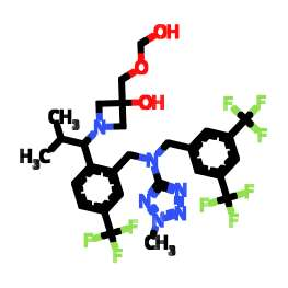 CC(C)C(c1ccc(C(F)(F)F)cc1CN(Cc1cc(C(F)(F)F)cc(C(F)(F)F)c1)c1nnn(C)n1)N1CC(O)(COCO)C1